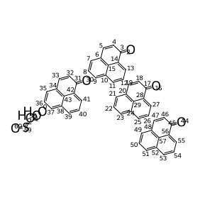 O.O.O=C1C=Cc2cccc3cccc1c23.O=C1C=Cc2cccc3cccc1c23.O=C1C=Cc2cccc3cccc1c23.O=C1C=Cc2cccc3cccc1c23.O=S=O